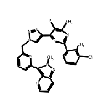 Cc1c(C#N)cccc1-c1nc(N)c(F)c(-c2cn(Cc3cccc(-c4c5ncccc5nn4C)n3)nn2)n1